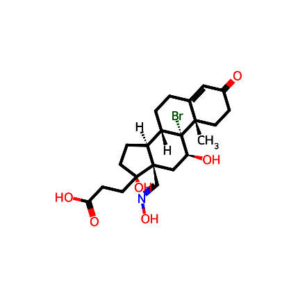 C[C@]12CCC(=O)C=C1CC[C@H]1[C@@H]3CC[C@@](O)(CCC(=O)O)[C@@]3(C=NO)C[C@H](O)[C@@]12Br